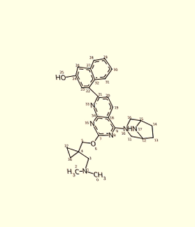 CN(C)CC1(COc2nc(N3CC4CCC(C3)N4)c3ccc(-c4cc(O)cc5ccccc45)nc3n2)CC1